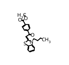 CCCCN1/C(=C\C(=O)c2ccc(C(=O)OC)cc2)Sc2ccccc21